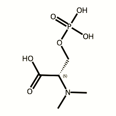 CN(C)[C@@H](COP(=O)(O)O)C(=O)O